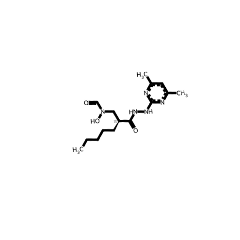 CCCCC[C@@H](CN(O)C=O)C(=O)NNc1nc(C)cc(C)n1